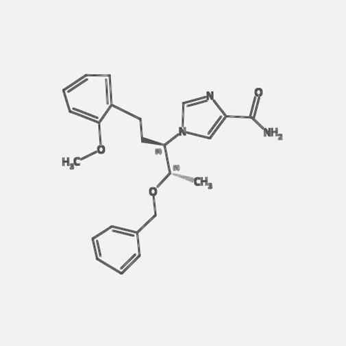 COc1ccccc1CC[C@H]([C@H](C)OCc1ccccc1)n1cnc(C(N)=O)c1